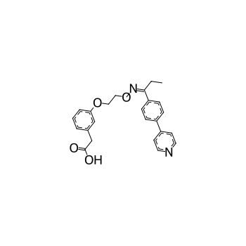 CCC(=NOCCOc1cccc(CC(=O)O)c1)c1ccc(-c2ccncc2)cc1